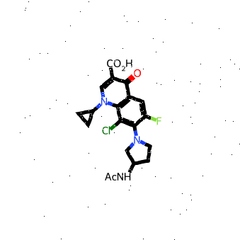 CC(=O)NC1CCN(c2c(F)cc3c(=O)c(C(=O)O)cn(C4CC4)c3c2Cl)C1